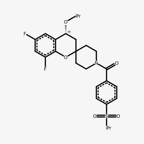 CC(C)O[C@@H]1CC2(CCN(C(=O)c3ccc(S(=O)(=O)C(C)C)cc3)CC2)Oc2c(F)cc(F)cc21